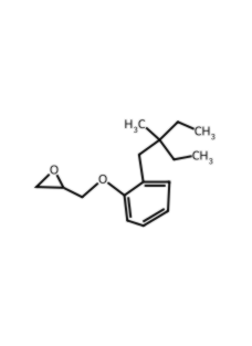 CCC(C)(CC)Cc1ccccc1OCC1CO1